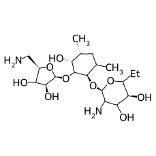 CCC1O[C@H](O[C@@H]2C(C)C[C@@H](C)[C@@H](O)C2O[C@@H]2O[C@H](CN)C(O)[C@@H]2O)C(N)C(O)[C@@H]1O